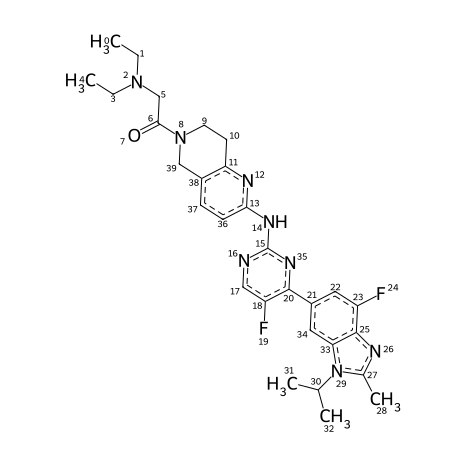 CCN(CC)CC(=O)N1CCc2nc(Nc3ncc(F)c(-c4cc(F)c5nc(C)n(C(C)C)c5c4)n3)ccc2C1